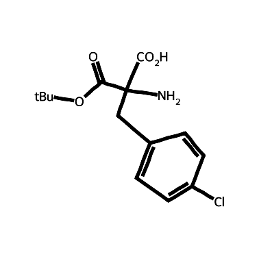 CC(C)(C)OC(=O)C(N)(Cc1ccc(Cl)cc1)C(=O)O